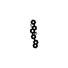 c1ccc2cc(-c3ccc4c(c3)oc3c4ccc4c3ccc3c5ccccc5sc34)ccc2c1